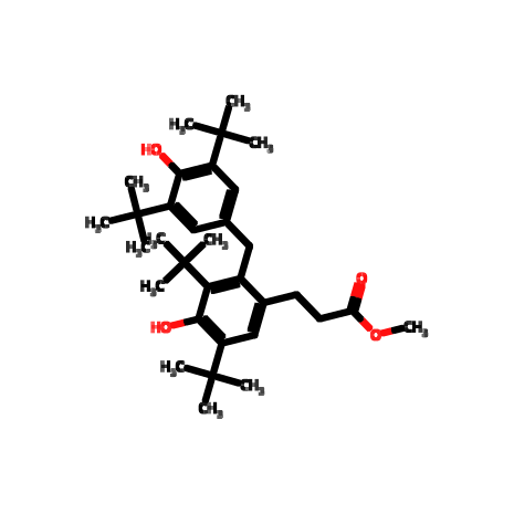 COC(=O)CCc1cc(C(C)(C)C)c(O)c(C(C)(C)C)c1Cc1cc(C(C)(C)C)c(O)c(C(C)(C)C)c1